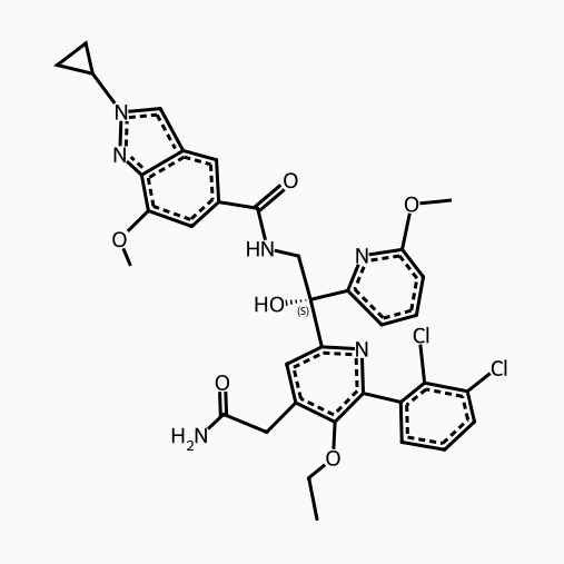 CCOc1c(CC(N)=O)cc([C@@](O)(CNC(=O)c2cc(OC)c3nn(C4CC4)cc3c2)c2cccc(OC)n2)nc1-c1cccc(Cl)c1Cl